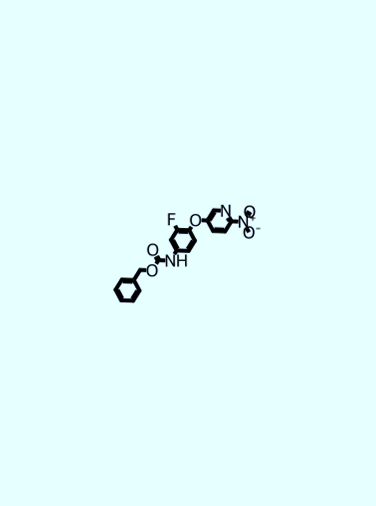 O=C(Nc1ccc(Oc2ccc([N+](=O)[O-])nc2)c(F)c1)OCc1ccccc1